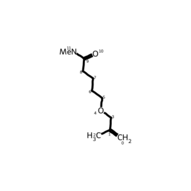 C=C(C)COCCCCC(=O)NC